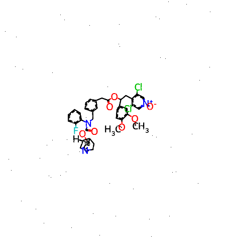 COc1ccc(C(Cc2c(Cl)c[n+]([O-])cc2Cl)OC(=O)Cc2cccc(CN(C(=O)O[C@H]3CN4CCC3CC4)c3ccccc3F)c2)cc1OC